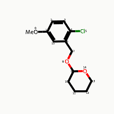 COc1c[c]c(Cl)c(COC2CCCCO2)c1